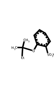 CCC(C)(C)Oc1ccccc1S(=O)(=O)O